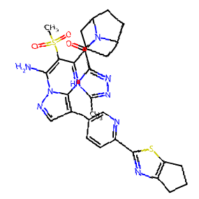 Cc1nnc(C(=O)N2C3CCC2CC(c2nc4c(-c5ccc(-c6nc7c(s6)CCC7)nc5)cnn4c(N)c2S(C)(=O)=O)C3)[nH]1